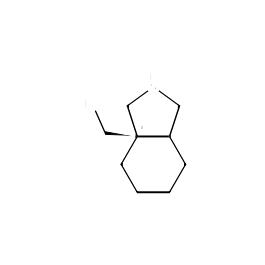 OC[C@]12CCCCC1CNC2